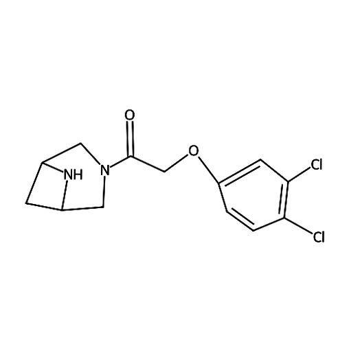 O=C(COc1ccc(Cl)c(Cl)c1)N1CC2CC(C1)N2